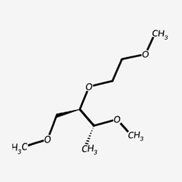 COCCO[C@H](COC)[C@@H](C)OC